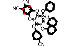 N#Cc1ccc(ON2P(Oc3ccccc3)N=P(Oc3ccccc3)(Oc3ccccc3)N(Oc3ccc(C#N)cc3)P2Oc2ccc(C#N)cc2)cc1